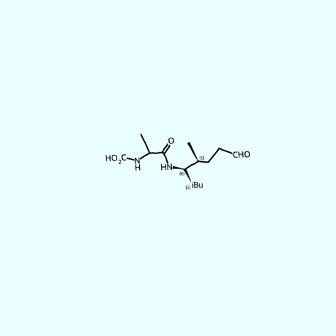 CC[C@H](C)[C@@H](NC(=O)C(C)NC(=O)O)[C@@H](C)CCC=O